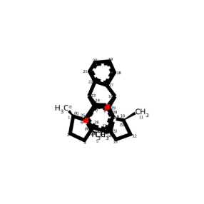 C[C@@H]1CC[C@@H](C)P1C1=C(P2[C@@H](C)CC[C@@H]2C)C2c3ccccc3C1c1ccccc12